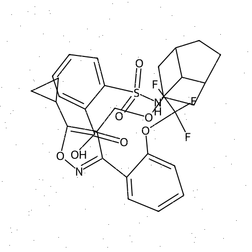 O=C(O)c1ccccc1S(=O)(=O)NC1C2CCC1CC(OCc1c(-c3ccccc3OC(F)(F)F)noc1C1CC1)C2